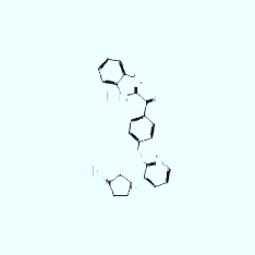 C[C@@]1(O)CC[C@@H](c2cccnc2Oc2ccc(C(=O)c3nc4ccccc4[nH]3)cc2)C1